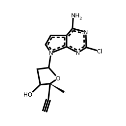 C#C[C@@]1([CH2])OC(n2ccc3c(N)nc(Cl)nc32)CC1O